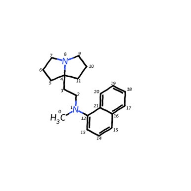 CN(CCC12CCCN1CCC2)c1cccc2ccccc12